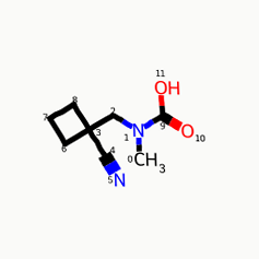 CN(CC1(C#N)CCC1)C(=O)O